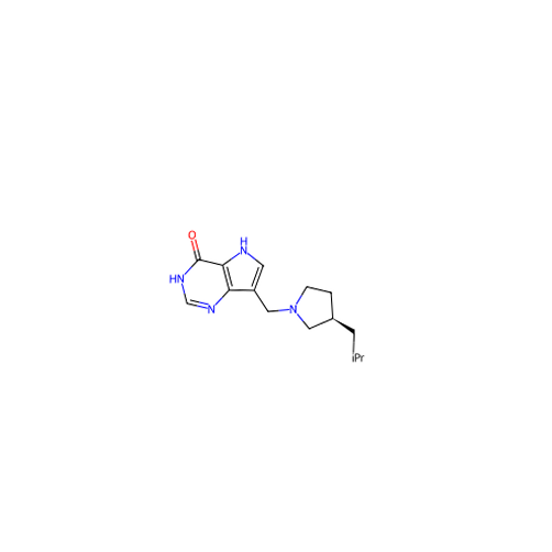 CC(C)C[C@@H]1CCN(Cc2c[nH]c3c(=O)[nH]cnc23)C1